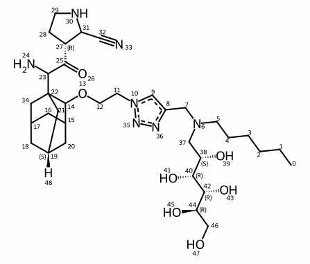 CCCCCCN(Cc1cn(CCOC2C3CC4C[C@@H](C3)CC2(C(N)C(=O)[C@@H]2CCNC2C#N)C4)nn1)C[C@H](O)[C@@H](O)[C@H](O)[C@H](O)CO